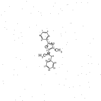 Cc1nc(-c2ccccc2)oc1N(C)Cc1ccccc1